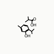 CC(C)C(=O)O.Cc1ccc(C(C)C)c(O)c1